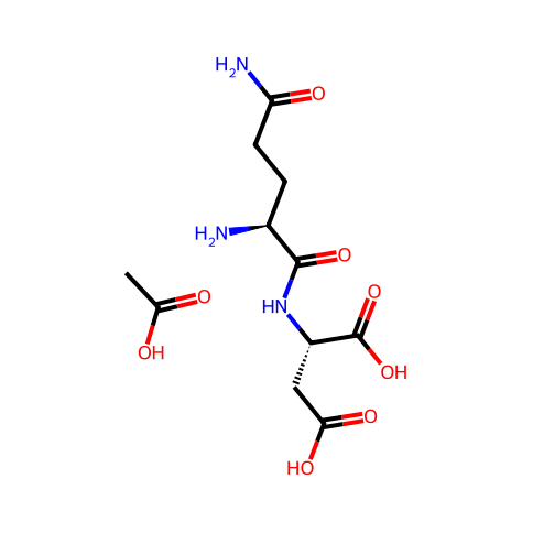 CC(=O)O.NC(=O)CC[C@H](N)C(=O)N[C@@H](CC(=O)O)C(=O)O